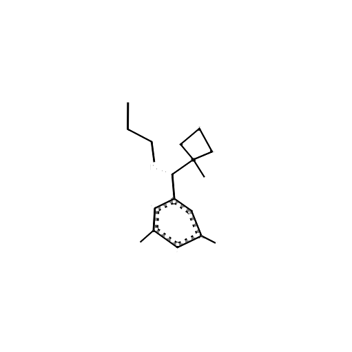 [CH2]CCN[C@@H](c1cc(F)cc(F)c1)C1(O)CCC1